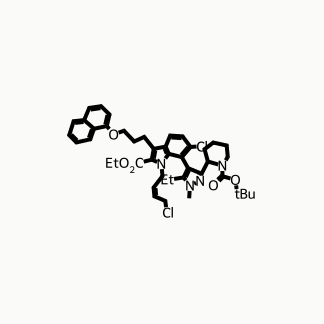 CCOC(=O)c1c(CCCOc2cccc3ccccc23)c2ccc(Cl)c(-c3c(C4CCCCN4C(=O)OC(C)(C)C)nn(C)c3CC)c2n1C/C=C\CCl